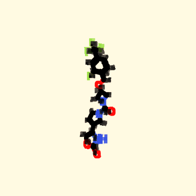 O=C1NC(C2CCN(C(=O)N3CC(OCc4ccc(C(F)(F)F)cc4F)C3)C2)CO1